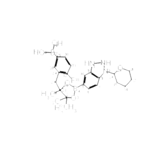 CC1(C)OB(c2ccc3c(c2)NNN3C2CCCCO2)OC1(C)Cc1cc(B(O)O)ccc1F